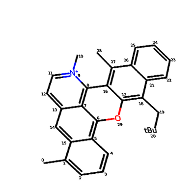 Cc1cccc2c3c4c([n+](C)ccc4cc12)-c1c(c(CC(C)(C)C)c2ccccc2c1C)O3